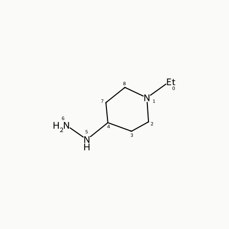 CCN1CCC(NN)CC1